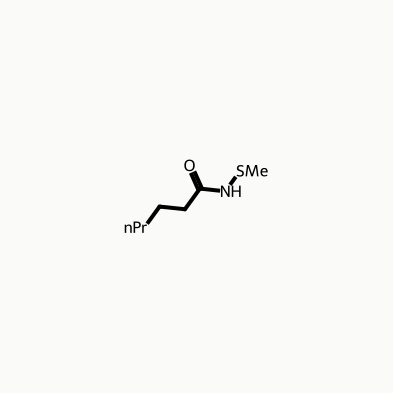 CCCCCC(=O)NSC